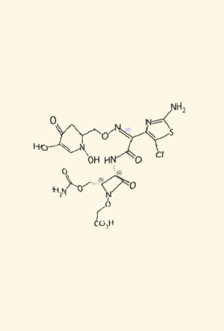 NC(=O)OC[C@@H]1[C@H](NC(=O)/C(=N\OCC2CC(=O)C(O)=CN2O)c2nc(N)sc2Cl)C(=O)N1OCC(=O)O